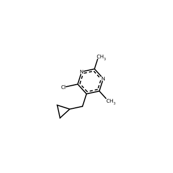 Cc1nc(C)c(CC2CC2)c(Cl)n1